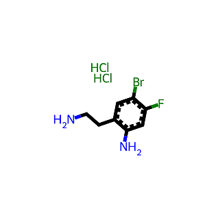 Cl.Cl.NCCc1cc(Br)c(F)cc1N